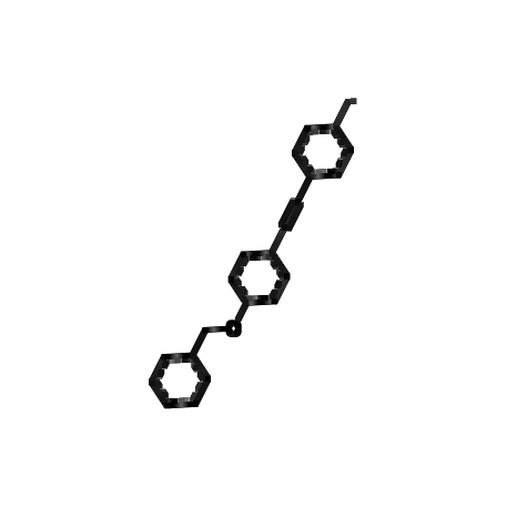 [CH2]c1ccc(C#Cc2ccc(OCc3ccccc3)cc2)cc1